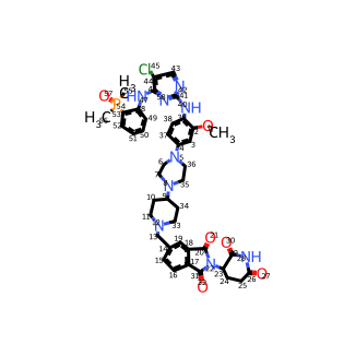 COc1cc(N2CCN(C3CCN(Cc4ccc5c(c4)C(=O)N(C4CCC(=O)NC4=O)C5=O)CC3)CC2)ccc1Nc1ncc(Cl)c(Nc2ccccc2P(C)(C)=O)n1